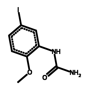 COc1ccc(I)cc1NC(N)=O